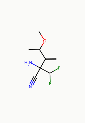 C=C(C(C)OC)C(N)(C#N)C(F)F